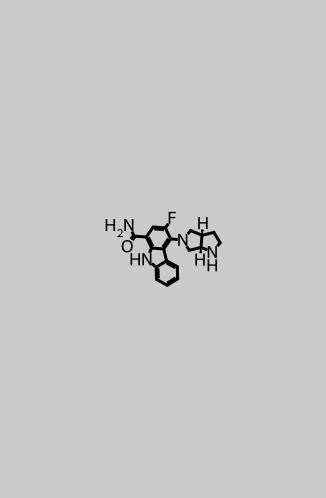 NC(=O)c1cc(F)c(N2C[C@@H]3CCN[C@@H]3C2)c2c1[nH]c1ccccc12